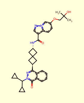 CC(C)(O)COc1ccc2c(C(=O)N[C@H]3CC4(C3)C[C@H](c3nn(C(C5CC5)C5CC5)c(=O)c5ccccc53)C4)cnn2c1